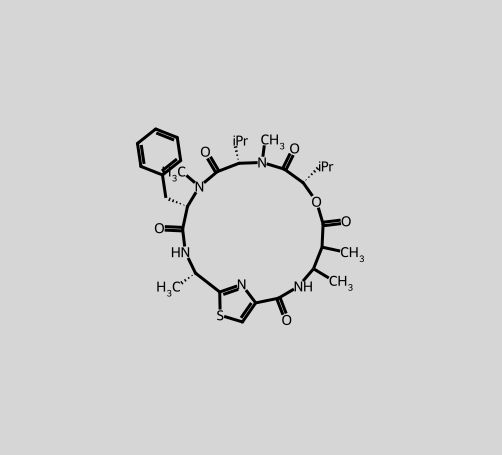 CC1NC(=O)c2csc(n2)[C@H](C)NC(=O)[C@H](Cc2ccccc2)N(C)C(=O)[C@H](C(C)C)N(C)C(=O)[C@H](C(C)C)OC(=O)C1C